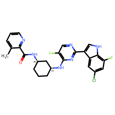 Cc1cccnc1C(=O)N[C@@H]1CCC[C@H](Nc2nc(-c3c[nH]c4c(F)cc(Cl)cc34)ncc2F)C1